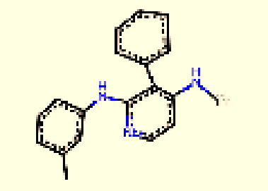 Cc1cccc(Nc2nccc(NC(C)C)c2-c2ccccc2)c1